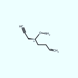 C#CC[C@H](CCC=C)ON